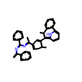 C=C(/N=C(\N=C(/C)C1=CCC(C)C(C2=C3C=CC=C(N3)c3ccccc3C2C)=C1)c1ccccc1)c1ccccc1